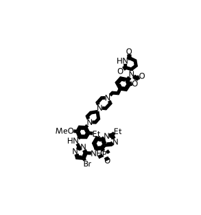 CCc1ncc2c(P(C)(C)=O)c(Nc3nc(Nc4cc(CC)c(N5CCC(N6CCN(CCc7ccc8c(c7)oc(=O)n8C7CCC(=O)NC7=O)CC6)CC5)cc4OC)ncc3Br)ccc2n1